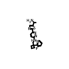 CC(N)c1cnc(-c2ccc(NCC3(c4ncccc4F)CCC3)nn2)s1